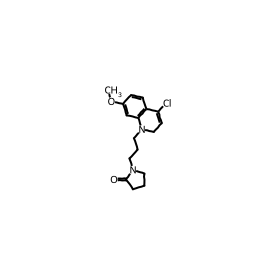 COc1ccc2c(c1)N(CCCN1CCCC1=O)CC=C2Cl